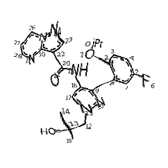 CC(C)Oc1ccc(F)cc1-c1nn(CC(C)(C)O)cc1NC(=O)c1cnn2cccnc12